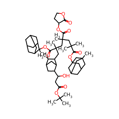 CC1C2CC(C(O)CC(=O)OC(C)(C)C)C(C2)C1CC(C)(CC(C)(CC(C)(C)C(=O)OC12CC3CC(CC(C)(C3)C1)C2)C(=O)OC1CCOC1=O)C(=O)OC1(C)C2CC3CC(C2)CC1C3